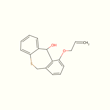 C=CCOc1cccc2c1C(O)c1ccccc1SC2